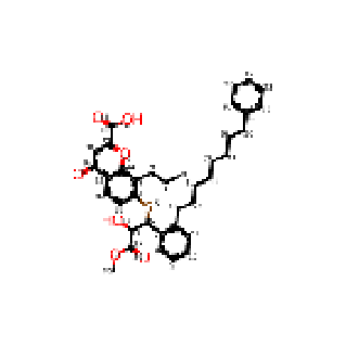 CCCc1c(SC(c2ccccc2CCCCCCCCc2ccccc2)C(O)C(=O)OC)ccc2c(=O)cc(C(=O)O)oc12